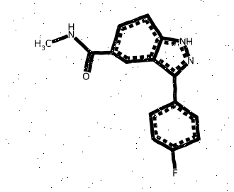 CNC(=O)c1ccc2[nH]nc(-c3ccc(F)cc3)c2c1